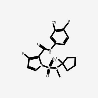 CN(C1(C(F)(F)F)CCCC1)S(=O)(=O)n1ccc(F)c1C(=O)Nc1ccc(F)c(C#N)c1